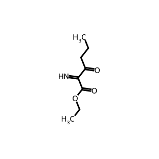 CCCC(=O)C(=N)C(=O)OCC